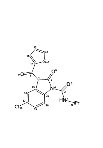 CC(C)NC(=O)N1C(=O)C(C(=O)c2cccs2)c2cc(Cl)ccc21